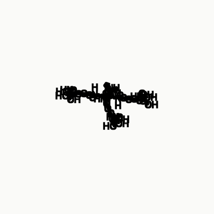 CC(=O)N[C@H]1[C@H](OCCOCCOCCOCC(=O)NCCCCC(NC(=O)COCCOCCOCCO[C@@H]2O[C@H](CO)[C@H](O)[C@H](O)[C@H]2NC(C)=O)C(=O)NC(CCCCNC(=O)COCCOCCOCCO[C@@H]2O[C@H](CCO)[C@H](O)[C@H](O)[C@H]2NC(C)=O)C(=O)NC(C(=O)NC2CCCC2)C2CCCC2)O[C@H](CO)[C@H](O)[C@@H]1O